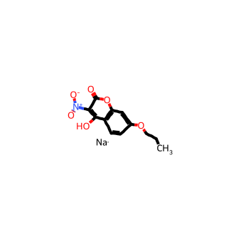 CCCOc1ccc2c(O)c([N+](=O)[O-])c(=O)oc2c1.[Na]